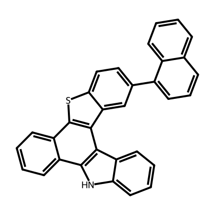 c1ccc2c(-c3ccc4sc5c6ccccc6c6[nH]c7ccccc7c6c5c4c3)cccc2c1